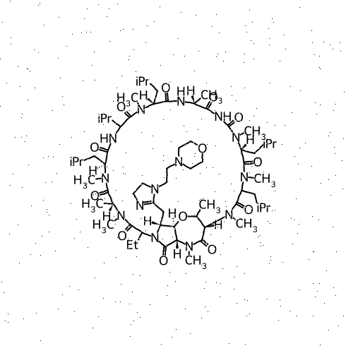 CCC1C(=O)N(C)[C@H](C)C(=O)N(C)[C@@H](CC(C)C)C(=O)NC(C(C)C)C(=O)N(C)[C@H](CC(C)C)C(=O)N[C@H](C)C(=O)NC(=O)N(C)[C@H](CC(C)C)C(=O)N(C)C(CC(C)C)C(=O)N(C)[C@@H]2C(=O)N(C)[C@@H]3C(=O)N1[C@H](CC1=NCCN1CCN1CCOCC1)[C@H]3OC2C